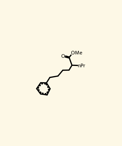 CCCC(CCCCc1ccccc1)C(=O)OC